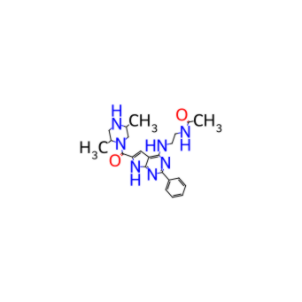 CC(=O)NCCNc1nc(-c2ccccc2)nc2[nH]c(C(=O)N3CC(C)NCC3C)cc12